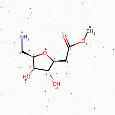 COC(=O)C[C@@H]1O[C@H](CN)[C@@H](O)[C@H]1O